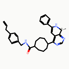 C=CCc1ccc(CNC(=O)C2CCCC(c3ncnc4c3C=C(c3ccccc3)N[C@@H]4C)CCC2)cc1